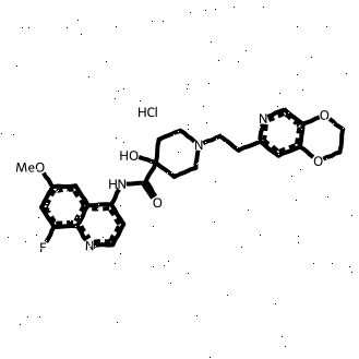 COc1cc(F)c2nccc(NC(=O)C3(O)CCN(CCc4cc5c(cn4)OCCO5)CC3)c2c1.Cl